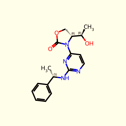 C[C@H](Nc1nccc(N2C(=O)OC[C@@H]2[C@@H](C)O)n1)c1ccccc1